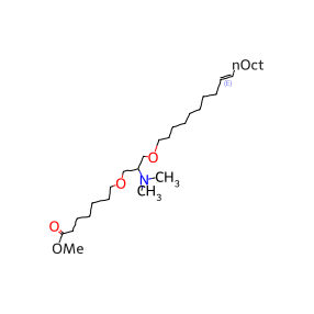 CCCCCCCC/C=C/CCCCCCCCOCC(COCCCCCCC(=O)OC)N(C)C